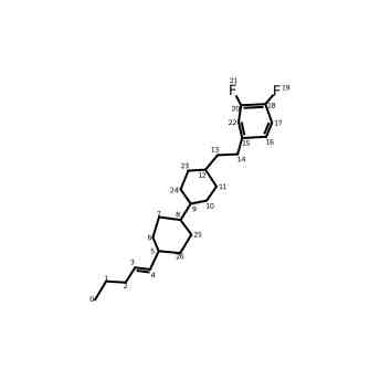 CCC/C=C/C1CCC(C2CCC(CCc3ccc(F)c(F)c3)CC2)CC1